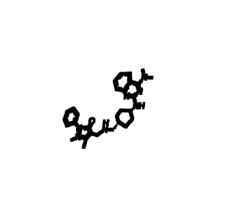 Cc1c(CNC[C@H]2CC[C@@H](Nc3nc(N(C)C)c4ccccc4n3)CC2)c(=O)n(-c2ccccc2)n1C